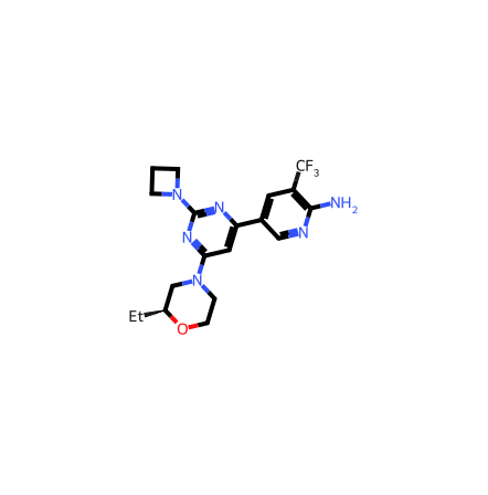 CC[C@H]1CN(c2cc(-c3cnc(N)c(C(F)(F)F)c3)nc(N3CCC3)n2)CCO1